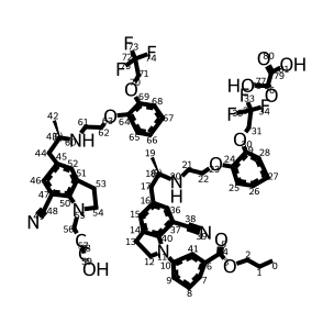 CCCOC(=O)c1cccc(N2CCc3cc(C[C@@H](C)NCCOc4ccccc4OCC(F)(F)F)cc(C#N)c32)c1.C[C@H](Cc1cc(C#N)c2c(c1)CCN2CCCO)NCCOc1ccccc1OCC(F)(F)F.O=C(O)C(=O)O